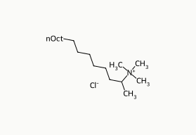 CCCCCCCCCCCCCCC(C)[N+](C)(C)C.[Cl-]